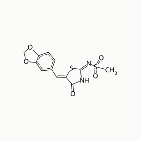 CS(=O)(=O)/N=C1\NC(=O)/C(=C/c2ccc3c(c2)OCO3)S1